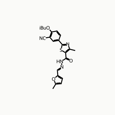 Cc1ccc(/C=N/NC(=O)c2sc(-c3ccc(OCC(C)C)c(C#N)c3)nc2C)o1